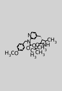 COc1ccc(CN(C(=O)OC(C)(C)C)c2cc(C[C@H]3C(=O)NC3C)ccn2)cc1